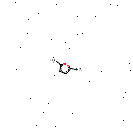 Cc1[c]cc([N+](=O)[O-])o1